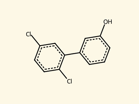 Oc1cccc(-c2cc(Cl)ccc2Cl)c1